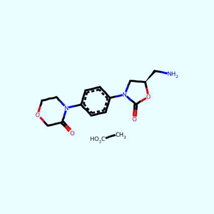 CC(=O)O.NC[C@@H]1CN(c2ccc(N3CCOCC3=O)cc2)C(=O)O1